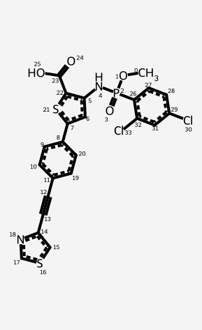 COP(=O)(Nc1cc(-c2ccc(C#Cc3cscn3)cc2)sc1C(=O)O)c1ccc(Cl)cc1Cl